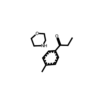 C1COCCN1.CCC(=O)c1ccc(C)cc1